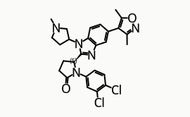 Cc1noc(C)c1-c1ccc2c(c1)nc([C@@H]1CCC(=O)N1c1ccc(Cl)c(Cl)c1)n2C1CCN(C)C1